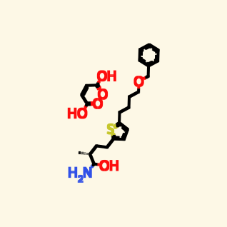 C[C@H](CCc1ccc(CCCCOCc2ccccc2)s1)C(N)O.O=C(O)/C=C\C(=O)O